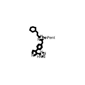 CCCCCn1nc(CCC2CCCCC2)nc1Cc1ccc(-c2ccncc2-c2nnn[nH]2)cc1